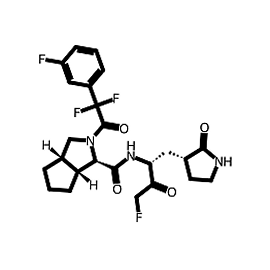 O=C1NCC[C@@H]1C[C@@H](NC(=O)[C@H]1[C@@H]2CCC[C@@H]2CN1C(=O)C(F)(F)c1cccc(F)c1)C(=O)CF